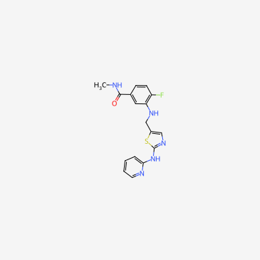 CNC(=O)c1ccc(F)c(NCc2cnc(Nc3ccccn3)s2)c1